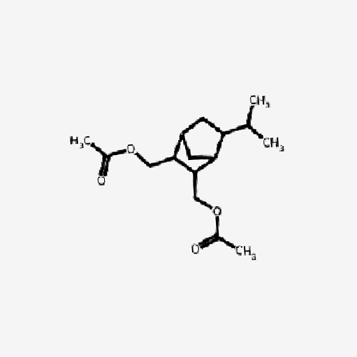 CC(=O)OCC1C2CC(C(C)C)C(C2)C1COC(C)=O